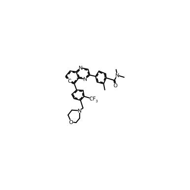 Cc1cc(-c2cnc3cccc(-c4ccc(CN5CCOCC5)c(C(F)(F)F)c4)c3n2)ccc1C(=O)N(C)C